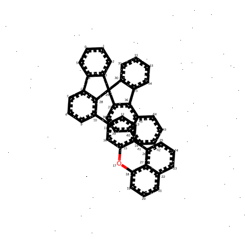 c1ccc2c(c1)-c1cccc(-c3ccc4c(c3)Oc3cccc5cccc-4c35)c1C21c2ccccc2-c2c1ccc1ccccc21